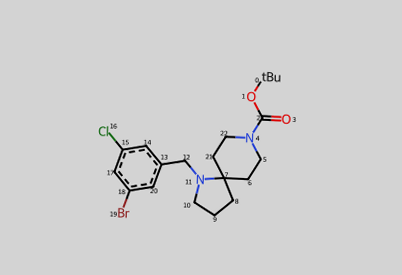 CC(C)(C)OC(=O)N1CCC2(CCCN2Cc2cc(Cl)cc(Br)c2)CC1